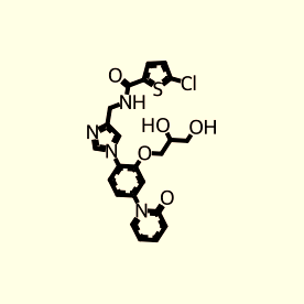 O=C(NCc1cn(-c2ccc(-n3ccccc3=O)cc2OCC(O)CO)cn1)c1ccc(Cl)s1